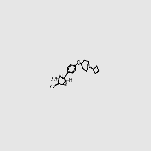 O=C1NN=C(c2ccc(OC3CCN(C4CCC4)CC3)cc2)[C@H]2CC12